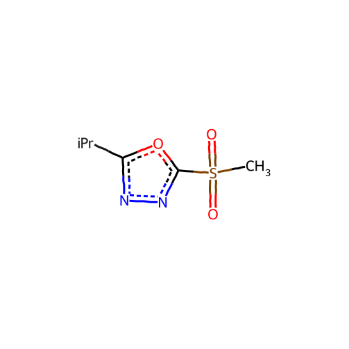 CC(C)c1nnc(S(C)(=O)=O)o1